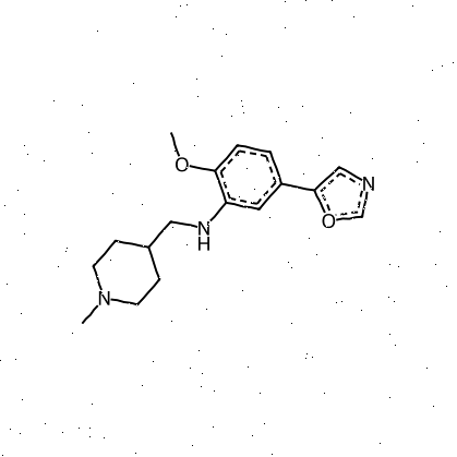 COc1ccc(-c2cnco2)cc1NCC1CCN(C)CC1